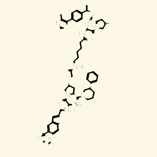 Cc1ncsc1-c1ccc(C(C)NC(=O)[C@@H]2C[C@@H](O)CN2C(=O)C(NC(=O)CCCCCNC(=O)CO[C@H]2C[C@@H](C(=O)N3CCC[C@H](c4ccccc4)C3)N(C(=O)C(NC(=O)c3cc4cc(C(F)(F)P(=O)(O)O)ccc4s3)C(C)(C)C)C2)C(C)(C)C)cc1